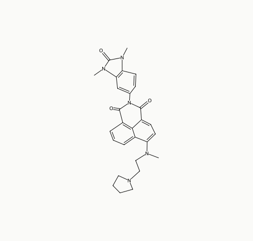 CN(CCN1CCCC1)c1ccc2c3c(cccc13)C(=O)N(c1ccc3c(c1)n(C)c(=O)n3C)C2=O